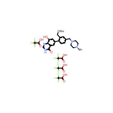 COCc1cc(CN2CCN(C(C)C)CC2)ccc1-c1cc(O)c2nc[nH]c(=O)c2c1.O=C(O)C(F)(F)F.O=C(O)C(F)(F)F.O=C(O)C(F)(F)F.O=C(O)C(F)(F)F